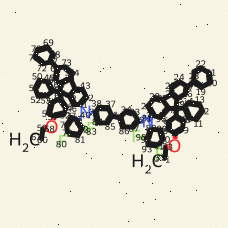 C=CCOc1ccc(C2(c3ccccc3)c3cc(-c4ccccc4)ccc3-c3ccc(N(c4ccc(-c5ccc(N(c6ccc7c(c6)C(c6ccccc6)(c6ccc(OCC=C)cc6)c6cc(-c8ccccc8)ccc6-7)c6ccc(F)cc6F)cc5)cc4)c4ccc(F)cc4F)cc32)cc1